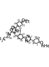 CCCCCCCOc1ccc(-c2cnc(-c3ccc(C[C@H](NC(=O)c4ccc(OCC)cc4)C(=O)N4CC(C(=O)O)C4)cc3)nc2)cc1